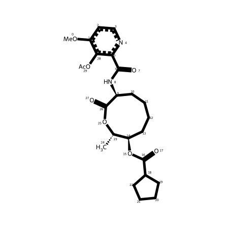 COc1ccnc(C(=O)N[C@H]2CCCC[C@@H](OC(=O)C3CCCC3)[C@H](C)OC2=O)c1OC(C)=O